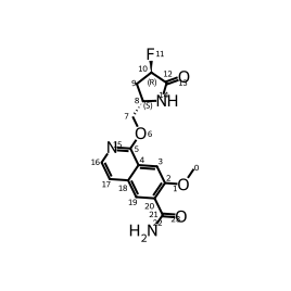 COc1cc2c(OC[C@@H]3C[C@@H](F)C(=O)N3)nccc2cc1C(N)=O